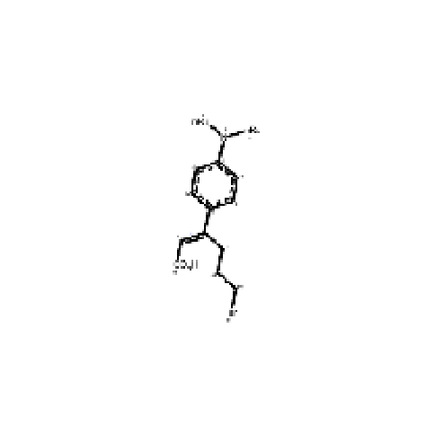 CCCCN(CCCC)c1ccc(/C(=C/C(=O)O)CCCBr)cc1